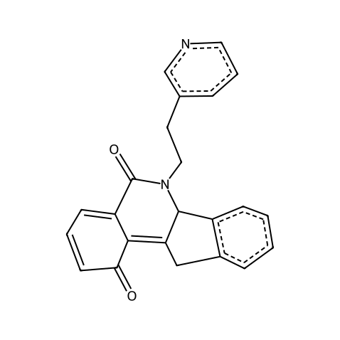 O=C1C=CC=C2C(=O)N(CCc3cccnc3)C3C(=C12)Cc1ccccc13